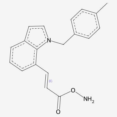 Cc1ccc(Cn2ccc3cccc(/C=C/C(=O)ON)c32)cc1